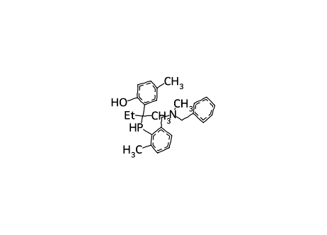 CCC(C)(Pc1c(C)cccc1CN(C)Cc1ccccc1)c1cc(C)ccc1O